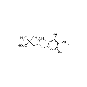 [2H]c1cc(CC(N)CC(C)(C)C(=O)O)cc([2H])c1N